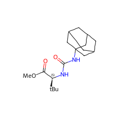 COC(=O)[C@@H](NC(=O)NC12CC3CC(CC(C3)C1)C2)C(C)(C)C